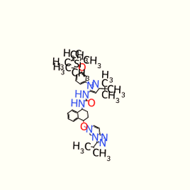 CC(C)c1nnc2n1CN(O[C@@H]1CC[C@H](NC(=O)Nc3cc(C(C)(C)C)nn3-c3cccc(O[Si](C(C)C)(C(C)C)C(C)C)c3)c3ccccc31)C=C2